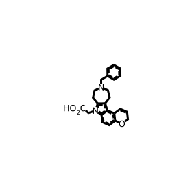 O=C(O)Cn1c2c(c3c4c(ccc31)OCC=C4)CCN(Cc1ccccc1)CC2